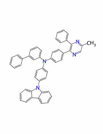 Cc1cnc(-c2ccc(N(c3ccc(-n4c5ccccc5c5ccccc54)cc3)c3cccc(-c4ccccc4)c3)cc2)c(-c2ccccc2)n1